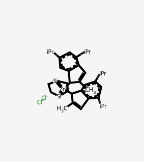 CC1=Cc2c(C(C)C)cc(C(C)C)cc2[CH]1[Zr+2]1([CH]2C(C)=Cc3c(C(C)C)cc(C(C)C)cc32)=[Si]2CC[Si]=1CC2.[Cl-].[Cl-]